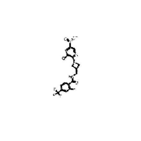 O=C(NCC1CN(c2ncc([N+](=O)[O-])cc2Cl)C1)c1ccc(C(F)(F)F)cc1F